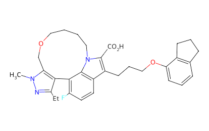 CCc1nn(C)c2c1-c1c(F)ccc3c(CCCOc4cccc5c4CCC5)c(C(=O)O)n(c13)CCCCOC2